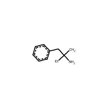 [CH2]C(N)([CH]C)Cc1ccccc1